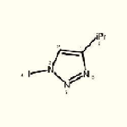 CC(C)c1cn(I)nn1